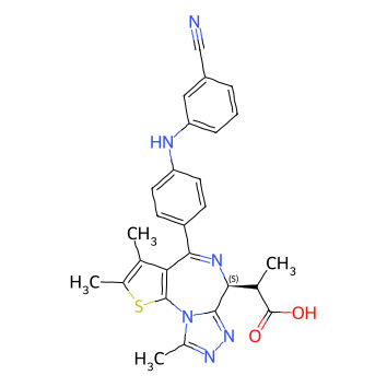 Cc1sc2c(c1C)C(c1ccc(Nc3cccc(C#N)c3)cc1)=N[C@@H](C(C)C(=O)O)c1nnc(C)n1-2